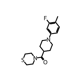 Cc1ccc(N2CCC(C(=O)N3CCSCC3)CC2)cc1F